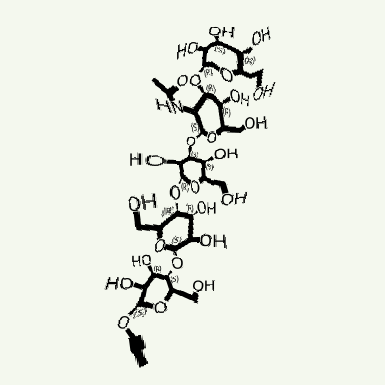 CC#CO[C@@H]1OC(CO)[C@@H](O[C@@H]2OC(CO)[C@H](O[C@H]3OC(CO)[C@H](O)[C@H](O[C@@H]4OC(CO)[C@H](O)[C@H](O[C@@H]5OC(CO)[C@H](O)[C@H](O)C5O)C4NC(C)=O)C3O)[C@H](O)C2O)[C@H](O)C1O